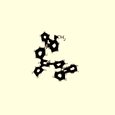 C=Cc1cccc2c1c1ccccc1n2-c1cccc(-c2cc(-c3ccccc3)cc(-c3cccc(-n4c5ccccc5c5ccccc54)c3)n2)c1